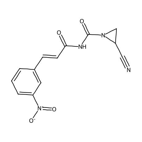 N#CC1CN1C(=O)NC(=O)C=Cc1cccc([N+](=O)[O-])c1